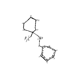 FC(F)(F)C1(NCc2ccccc2)CCCCC1